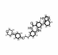 O=C1Nc2cc(CCOc3ccc(N4CCOCC4)cc3)ccc2Nc2cc(-c3cccc4nc[nH]c34)ccc21